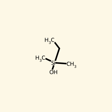 CC[Si](C)(C)O